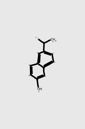 CC(I)c1ccc2cc(O)ccc2c1